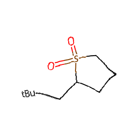 CC(C)(C)CC1CCCS1(=O)=O